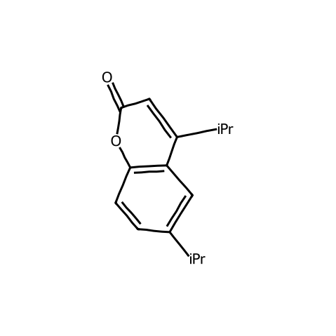 CC(C)c1ccc2oc(=O)cc(C(C)C)c2c1